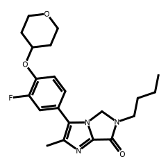 CCCCN1Cn2c(nc(C)c2-c2ccc(OC3CCOCC3)c(F)c2)C1=O